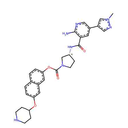 Cn1cc(-c2cnc(N)c(C(=O)N[C@@H]3CCN(C(=O)Oc4ccc5ccc(OC6CCNCC6)cc5c4)C3)c2)cn1